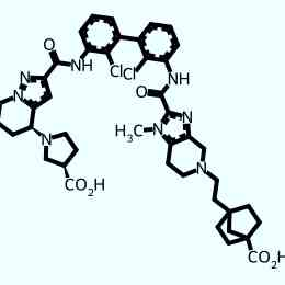 Cn1c(C(=O)Nc2cccc(-c3cccc(NC(=O)c4cc5n(n4)CCC[C@@H]5N4CC[C@@H](C(=O)O)C4)c3Cl)c2Cl)nc2c1CCN(CCC13CCC(C(=O)O)(CC1)C3)C2